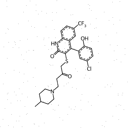 CC1CCN(CCC(=O)CSc2c(-c3cc(Cl)ccc3O)c3cc(C(F)(F)F)ccc3[nH]c2=O)CC1